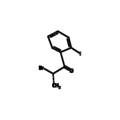 CC(Br)C(=O)c1ccccc1I